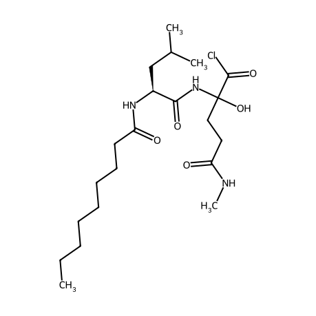 CCCCCCCCC(=O)N[C@@H](CC(C)C)C(=O)NC(O)(CCC(=O)NC)C(=O)Cl